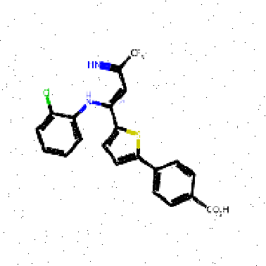 N=C(/C=C(\Nc1ccccc1Cl)c1ccc(-c2ccc(C(=O)O)cc2)s1)C(F)(F)F